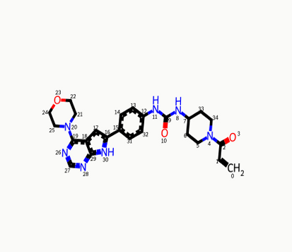 C=CC(=O)N1CCC(NC(=O)Nc2ccc(-c3cc4c(N5CCOCC5)ncnc4[nH]3)cc2)CC1